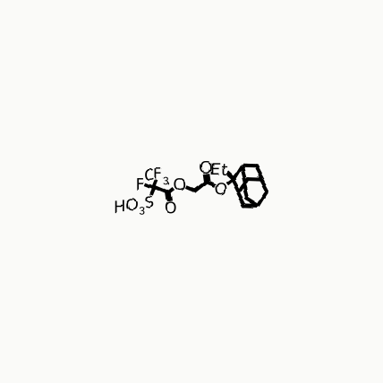 CCC1(OC(=O)COC(=O)C(F)(C(F)(F)F)S(=O)(=O)O)C2CC3CC(C2)CC1C3